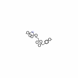 COC(=O)/C=C\C(=O)OCCC(=O)OC(=O)Cc1ccc(OC)cc1